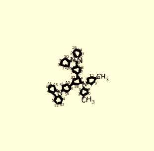 Cc1ccc(N(c2ccc(C)cc2)c2cc(-c3ccc(-c4nc5ccccc5n4-c4ccccc4)cc3)cc(-c3ccc(-n4c5ccccc5c5ccccc54)cc3)c2)cc1